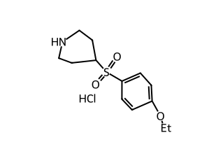 CCOc1ccc(S(=O)(=O)C2CCNCC2)cc1.Cl